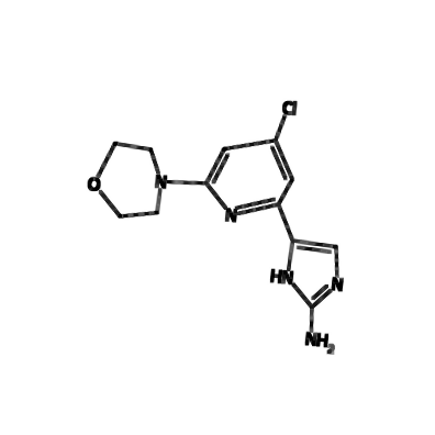 Nc1ncc(-c2cc(Cl)cc(N3CCOCC3)n2)[nH]1